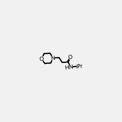 CC(C)NC(=O)CCN1CCOCC1